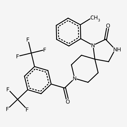 Cc1ccccc1N1C(=O)NCC12CCN(C(=O)c1cc(C(F)(F)F)cc(C(F)(F)F)c1)CC2